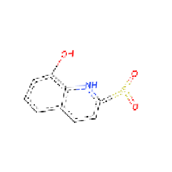 O=S(=O)=c1ccc2cccc(O)c2[nH]1